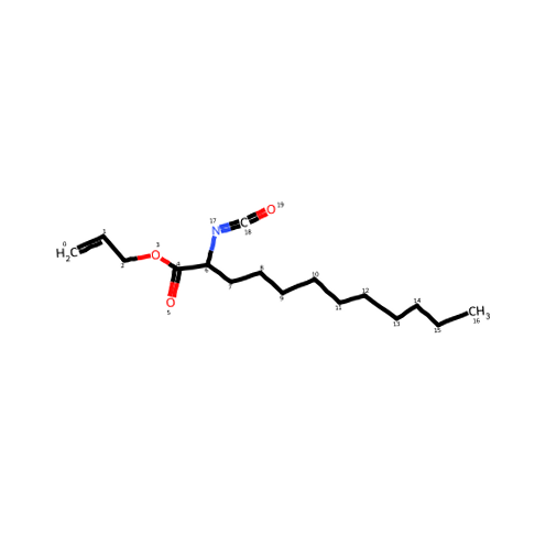 C=CCOC(=O)C(CCCCCCCCCC)N=C=O